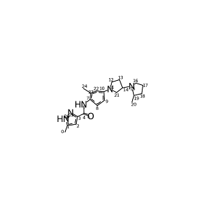 Cc1cc(C(=O)Nc2ccc(N3CCC(N4CCCC4C)C3)cc2C)n[nH]1